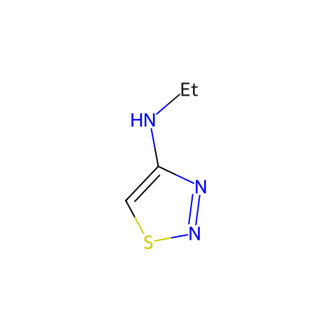 CCNc1csnn1